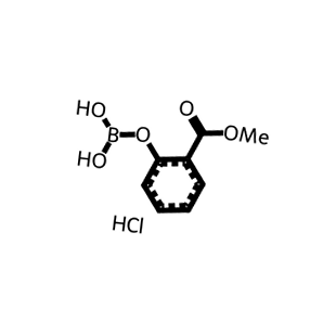 COC(=O)c1ccccc1OB(O)O.Cl